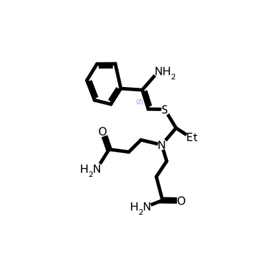 CCC(S/C=C(\N)c1ccccc1)N(CCC(N)=O)CCC(N)=O